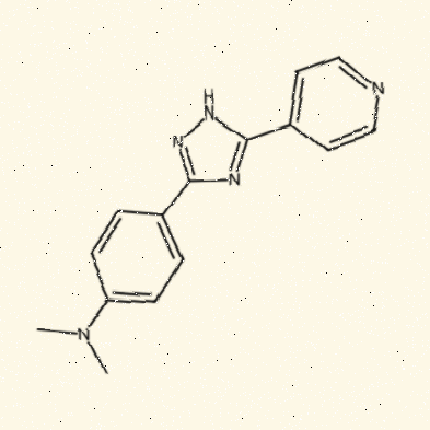 CN(C)c1ccc(-c2n[nH]c(-c3ccncc3)n2)cc1